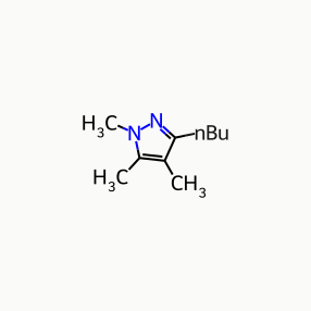 CCCCc1nn(C)c(C)c1C